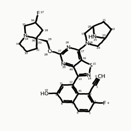 C#Cc1c(F)ccc2cc(O)cc(-c3nsc4c(N5CC6CCC(C5)N6)nc(OC[C@@]56CCCN5CC(F)C6)nc34)c12